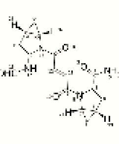 NC(=O)[C@@H]1C[C@@H]2C[C@@H]2N1C(=O)/C=C/C(=O)N1[C@H](NC=O)C[C@@H]2C[C@@H]21